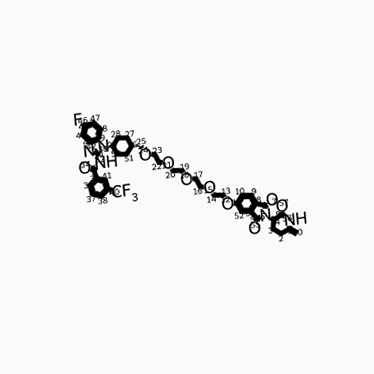 C=C1CCC(N2C(=O)c3ccc(OCCOCCOCCOCCOC[C@H]4CC[C@@H](n5c(NC(=O)c6cccc(C(F)(F)F)c6)nc6cc(F)ccc65)CC4)cc3C2=O)C(=O)N1